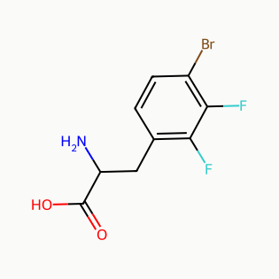 NC(Cc1ccc(Br)c(F)c1F)C(=O)O